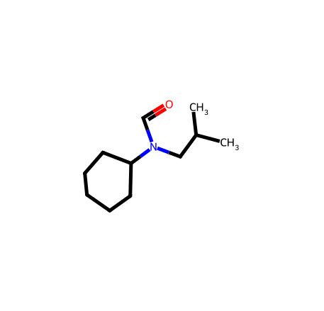 CC(C)CN(C=O)C1CCCCC1